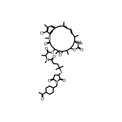 CC(=O)C1CCC(CN2C(=O)CC(SC(C)(C)CCC(=O)N(C)C(C)C(=O)OC3CC(=O)N(C)c4cc(cc(C)c4Cl)C/C(C)=C/C=C/C(C)C4(O)CC(OC(=O)N4)C(C)C4OC34C)C2=O)CC1